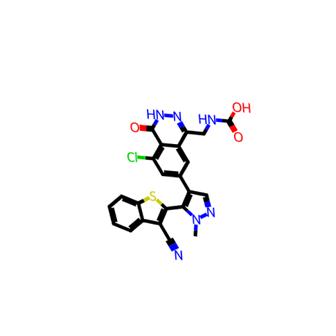 Cn1ncc(-c2cc(Cl)c3c(=O)[nH]nc(CNC(=O)O)c3c2)c1-c1sc2ccccc2c1C#N